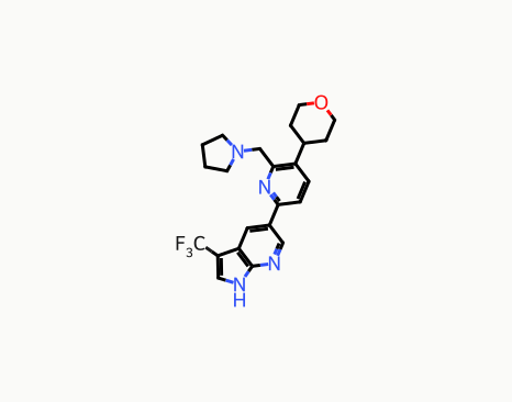 FC(F)(F)c1c[nH]c2ncc(-c3ccc(C4CCOCC4)c(CN4CCCC4)n3)cc12